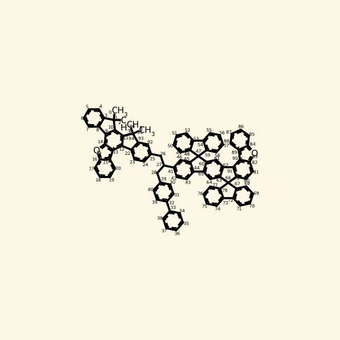 CC1(C)c2ccccc2-c2c1c1c(c3c2oc2ccccc23)-c2ccc(CC(Cc3ccc(-c4ccccc4)cc3)c3ccc4c(c3)C3(c5ccccc5-c5ccccc53)c3cc5c(cc3-4)C3(c4ccccc4-c4ccccc43)c3ccc4oc6ccccc6c4c3-5)cc2C1(C)C